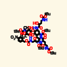 CN(C(=O)OC(C)(C)C)[C@@H]1[C@@H](O)[C@@H](O[C@@H]2[C@@H](O)[C@H](C3OC(CNC(=O)OCc4ccc([N+](=O)[O-])cc4)=CC[C@H]3NC(=O)C(CCCNC(=O)OC(C)(C)C)NC(=O)OC(C)(C)C)[C@@H](NC(=O)OC(C)(C)C)C[C@H]2NC(=O)[C@@H](O)CCNC(=O)OC(C)(C)C)OC[C@]1(C)O